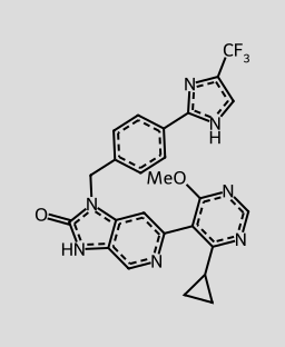 COc1ncnc(C2CC2)c1-c1cc2c(cn1)[nH]c(=O)n2Cc1ccc(-c2nc(C(F)(F)F)c[nH]2)cc1